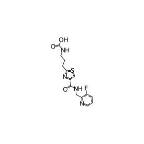 O=C(O)NCCCc1nc(C(=O)NCc2ncccc2F)cs1